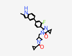 Cc1cc2cc(-c3ccc(C4=NC5(CC5)C(=O)N4CC4CN(C(=O)C5CC5)C4)c(F)c3)ccc2[nH]1